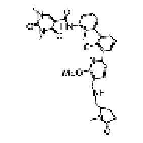 COc1nc(-c2cccc(-c3cccc(NC(=O)c4cn(C)c(=O)n(C)c4=O)c3C)c2Cl)ccc1CNCC1CCC(=O)N1C